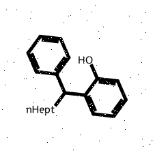 CCCCCCCC(c1ccccc1)c1ccccc1O